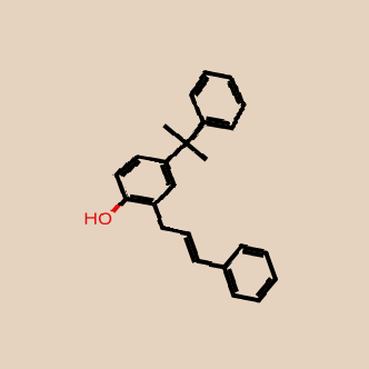 CC(C)(c1ccccc1)c1ccc(O)c(CC=Cc2ccccc2)c1